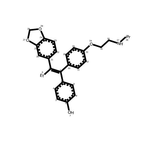 CC/C(=C(\c1ccc(O)cc1)c1ccc(OCCNC(C)C)cc1)c1ccc2c(c1)OCO2